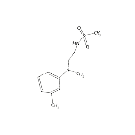 Cc1cccc(N(C)CCNS(C)(=O)=O)c1